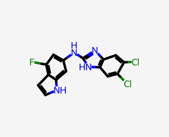 Fc1cc(Nc2nc3cc(Cl)c(Cl)cc3[nH]2)cc2[nH]ccc12